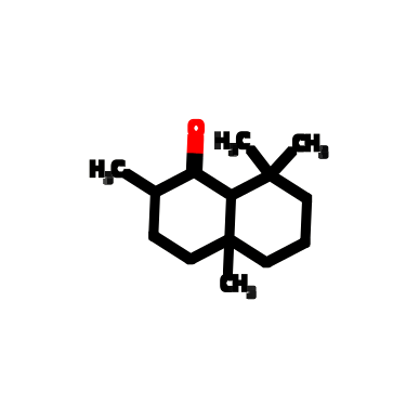 CC1CCC2(C)CCCC(C)(C)C2C1=O